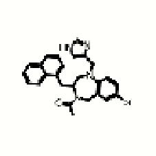 CC(=O)N1Cc2cc(Br)ccc2N(Cc2c[nH]cn2)CC1Cc1cccc2ccccc12